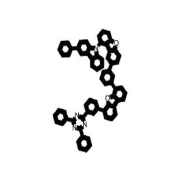 c1ccc(-c2ccc3c(c2)c2ccccc2n3-c2cccc3oc4ccc(-c5cccc(-c6cccc7c6oc6c(-c8cccc(-c9nc(-c%10ccccc%10)nc(-c%10ccccc%10)n9)c8)cccc67)c5)cc4c23)cc1